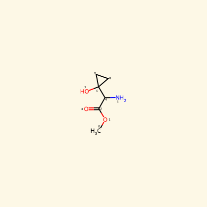 COC(=O)C(N)C1(O)CC1